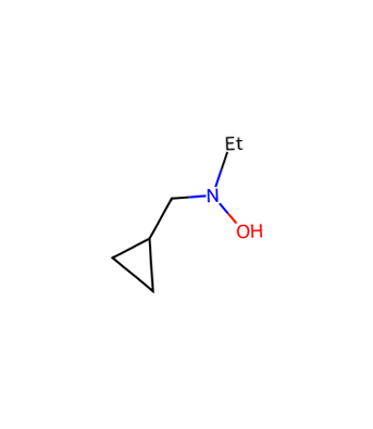 CCN(O)CC1CC1